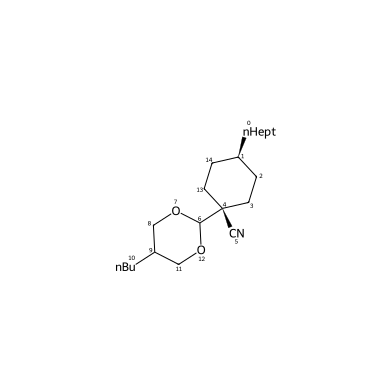 CCCCCCC[C@H]1CC[C@](C#N)(C2OCC(CCCC)CO2)CC1